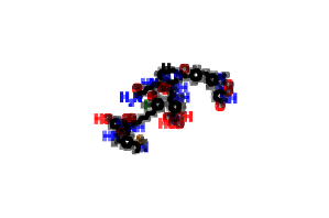 Cc1ncsc1-c1ccc([C@H](C)NC(=O)[C@@H]2C[C@@H](O)CN2C(=O)[C@@H](NC(=O)CCCCCc2cccc(OC[C@H](CCC(N)=O)NC(=O)[C@@H]3CC[C@@H]4CCN(C(=O)C[C@H]5CC[C@@H](Cc6ccc7c(c6)n(C)c(=O)n7C6CCC(=O)NC6=O)CC5)C[C@H](NC(=O)c5cc6cc(C(=O)P(=O)(O)O)ccc6[nH]5)C(=O)N43)c2F)C(C)(C)C)cc1